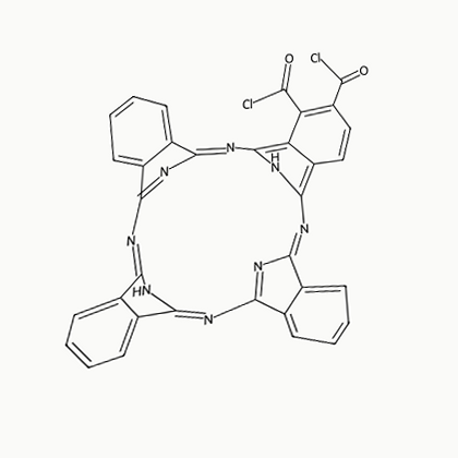 O=C(Cl)c1ccc2c3nc4nc(nc5[nH]c(nc6nc(nc([nH]3)c2c1C(=O)Cl)-c1ccccc1-6)c1ccccc51)-c1ccccc1-4